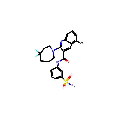 NS(=O)(=O)c1cccc(NC(=O)c2cc3c(C(F)(F)F)cccc3nc2N2CCCC(F)(F)CC2)c1